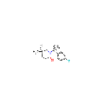 C[C@@H](c1ccc(F)cc1)N1CC(C)(C)CCC1=O